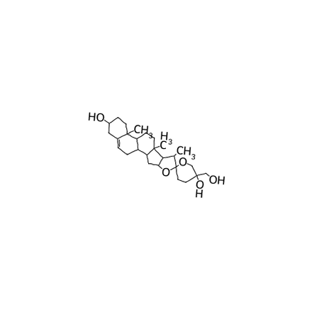 CC1C2C(CC3C4CC=C5CC(O)CCC5(C)C4CCC32C)OC12CCC(O)(CO)CO2